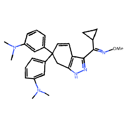 CO/N=C(/c1n[nH]c2c1C=CC(c1cccc(N(C)C)c1)(c1cccc(N(C)C)c1)C2)C1CC1